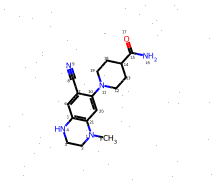 CN1CCNc2cc(C#N)c(N3CCC(C(N)=O)CC3)cc21